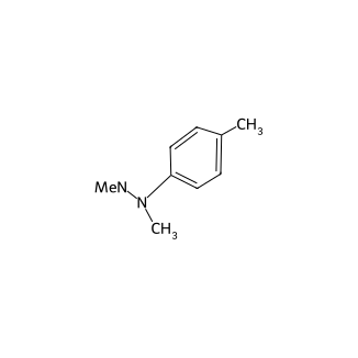 CNN(C)c1ccc(C)cc1